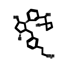 CCCC1(C(O)c2cccc([C@@H]3C(Cc4cccc(CCC(=O)O)c4)[C@H](Cl)C[C@H]3O)c2)CCC1